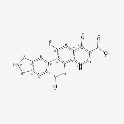 O=C(O)c1c[nH]c2c(CCCl)c(-c3ccc4c(c3)CNC4)c(F)cc2c1=O